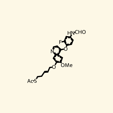 COc1cc2c(Oc3ccc(NC=O)cc3F)ccnc2cc1OC/C=C/CCSC(C)=O